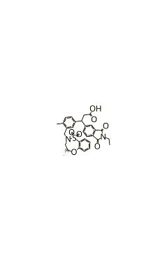 CCN1C(=O)c2ccc(C(CC(=O)O)c3ccc(C)c(CN4C[C@@H](C)Oc5ccccc5S4(=O)=O)c3)cc2C1=O